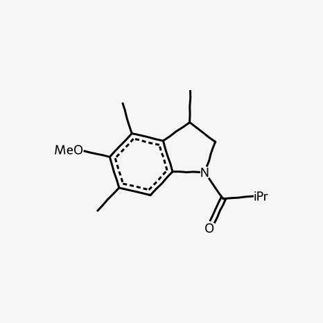 COc1c(C)cc2c(c1C)C(C)CN2C(=O)C(C)C